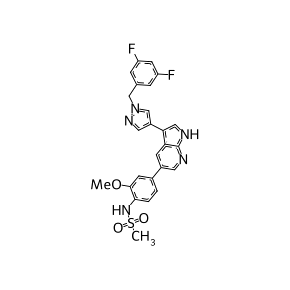 COc1cc(-c2cnc3[nH]cc(-c4cnn(Cc5cc(F)cc(F)c5)c4)c3c2)ccc1NS(C)(=O)=O